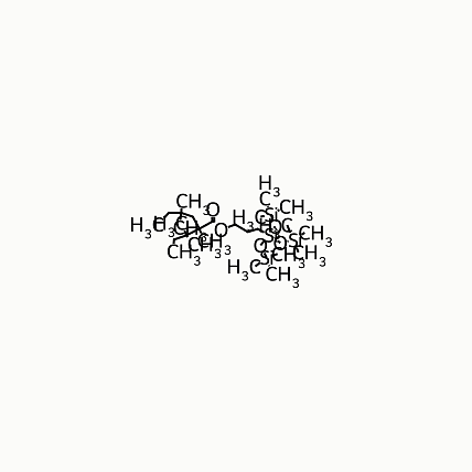 CCC(C)(C)CC(C)(C(=O)OCCC[Si](O[Si](C)(C)C)(O[Si](C)(C)C)O[Si](C)(C)C)C(C)(C)CC